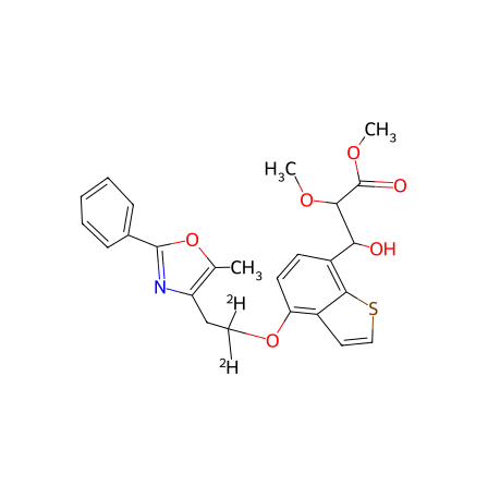 [2H]C([2H])(Cc1nc(-c2ccccc2)oc1C)Oc1ccc(C(O)C(OC)C(=O)OC)c2sccc12